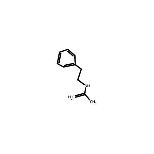 C=C(C)NCCc1ccccc1